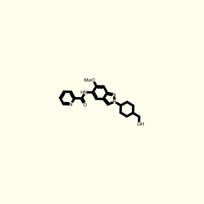 COc1cc2nn(C3CCC(CO)CC3)cc2cc1NC(=O)c1ccccn1